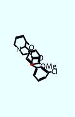 COc1ccc(C2C3C=CCN2CN(C(=O)Cc2cccc(Cl)c2)O3)cc1